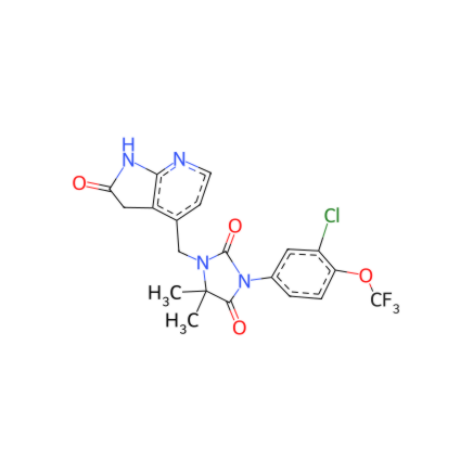 CC1(C)C(=O)N(c2ccc(OC(F)(F)F)c(Cl)c2)C(=O)N1Cc1ccnc2c1CC(=O)N2